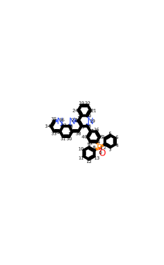 O=P(c1ccccc1)(c1ccccc1)c1ccc(-c2nc3ccccc3c3nc4c(ccc5cccnc54)cc23)cc1